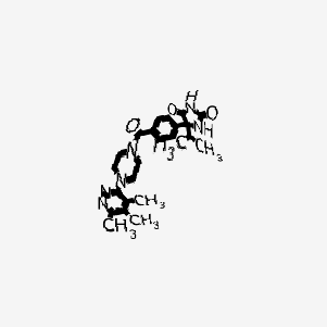 Cc1nnc(N2CCN(C(=O)c3ccc(C4(C(C)C)NC(=O)NC4=O)cc3)CC2)c(C)c1C